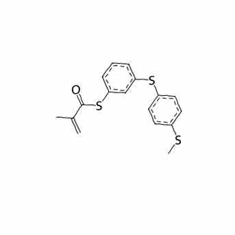 C=C(C)C(=O)Sc1cccc(Sc2ccc(SC)cc2)c1